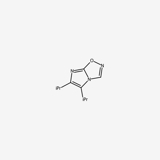 CC(C)c1nc2oncn2c1C(C)C